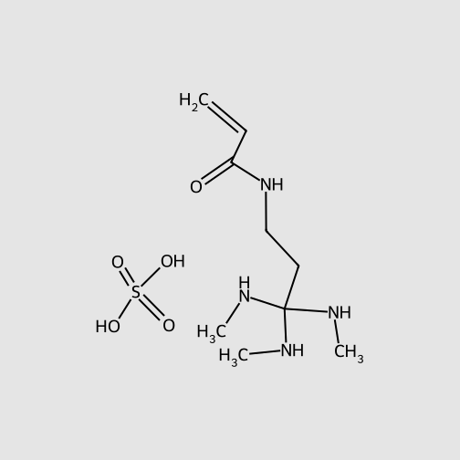 C=CC(=O)NCCC(NC)(NC)NC.O=S(=O)(O)O